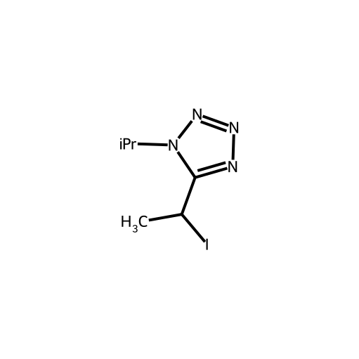 CC(I)c1nnnn1C(C)C